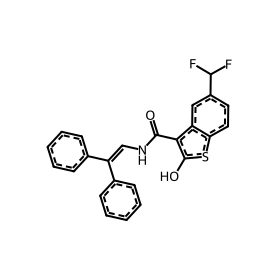 O=C(NC=C(c1ccccc1)c1ccccc1)c1c(O)sc2ccc(C(F)F)cc12